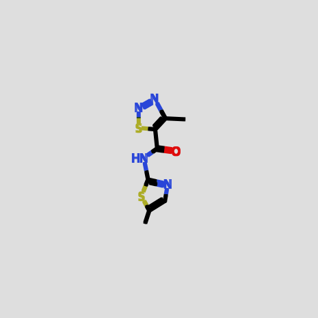 Cc1cnc(NC(=O)c2snnc2C)s1